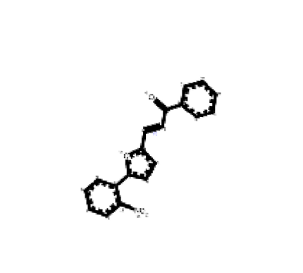 O=C(/C=C/c1ccc(-c2ccccc2[N+](=O)[O-])o1)c1ccccc1